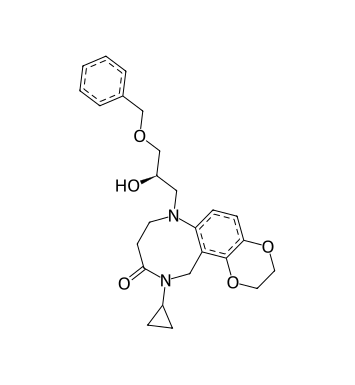 O=C1CCN(C[C@@H](O)COCc2ccccc2)c2ccc3c(c2CN1C1CC1)OCCO3